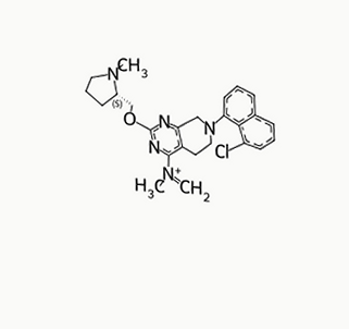 C=[N+](C)c1nc(OC[C@@H]2CCCN2C)nc2c1CCN(c1cccc3cccc(Cl)c13)C2